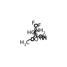 CCc1cccc(CN(C[C@@H](O)[C@@H](N)Cc2cc(F)cc(F)c2)C(=O)c2ccc3nncn3c2)c1